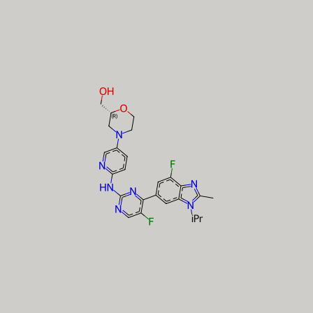 Cc1nc2c(F)cc(-c3nc(Nc4ccc(N5CCO[C@@H](CO)C5)cn4)ncc3F)cc2n1C(C)C